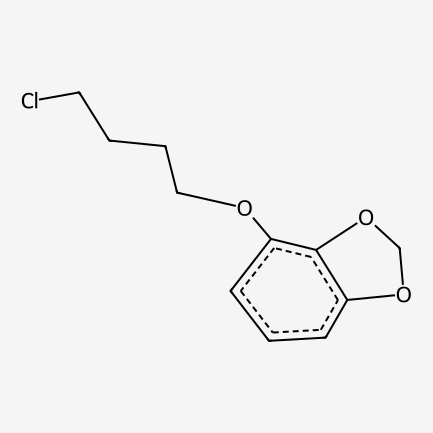 ClCCCCOc1cccc2c1OCO2